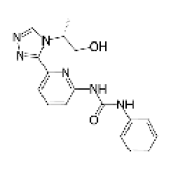 C[C@H](CO)n1cnnc1-c1cccc(NC(=O)Nc2ccccc2)n1